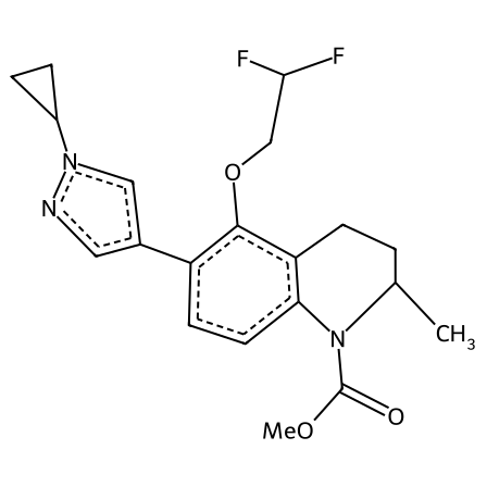 COC(=O)N1c2ccc(-c3cnn(C4CC4)c3)c(OCC(F)F)c2CCC1C